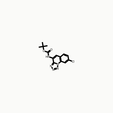 CC(C)(C)OC(=O)Nc1cc2ccc(Cl)cc2n2nnnc12